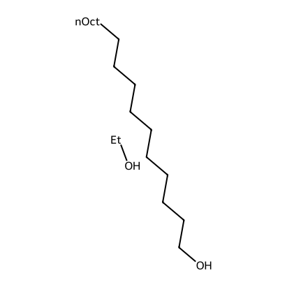 CCCCCCCCCCCCCCCCCCO.CCO